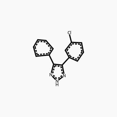 Clc1cccc(-c2n[nH]nc2-c2ccccc2)c1